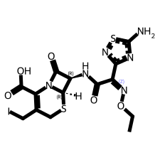 CCO/N=C(\C(=O)N[C@@H]1C(=O)N2C(C(=O)O)=C(CI)CS[C@H]12)c1nsc(N)n1